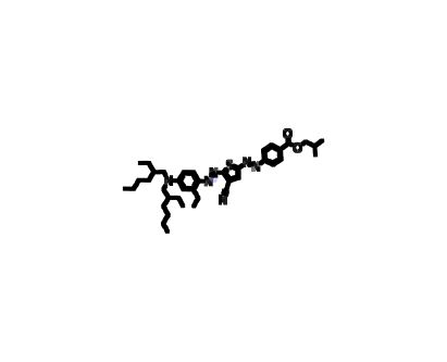 CCCCC(CC)CN(CC(CC)CCCC)c1ccc(/N=N/c2sc(N=Nc3ccc(C(=O)OCC(C)C)cc3)cc2C#N)c(CC)c1